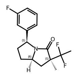 CC(F)(F)[C@@]1(C)C[C@H]2CC[C@@H](c3cccc(F)c3)N2C1=O